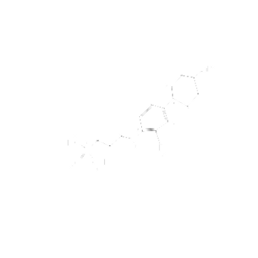 CCCC1CCC(c2ccc(OCCCP(=O)(O)O)c(F)c2)CC1